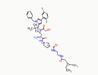 CCC1C(C)C1CC(=O)NCCNC(=O)[C@@H]1CC[C@@H](NC(=O)[C@@H](N)CCN(C(=O)CO)[C@@H](c2cc(-c3cc(F)ccc3F)cn2Cc2ccccc2)C(C)(C)C)C1